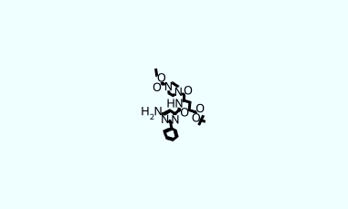 CCOC(=O)N1CCN(C(=O)C(CCC(=O)OC(C)(C)C)NC(=O)c2cc(N)nc(-c3ccccc3)n2)CC1